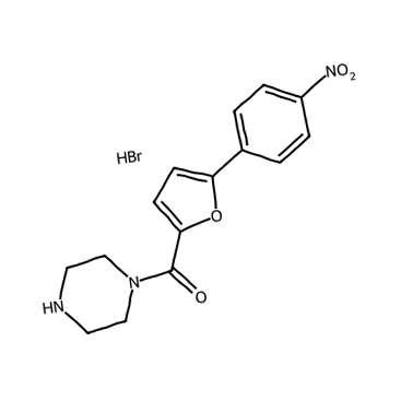 Br.O=C(c1ccc(-c2ccc([N+](=O)[O-])cc2)o1)N1CCNCC1